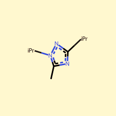 Cc1nc(C(C)C)nn1C(C)C